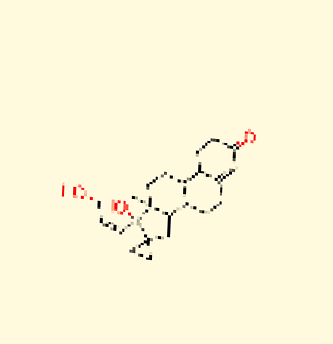 CC12CCC3C4CCC(=O)C=C4CCC3C1CC1(CC1)C2(O)/C=C\CO